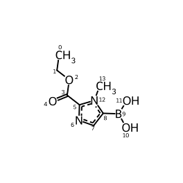 CCOC(=O)c1ncc(B(O)O)n1C